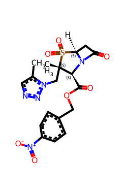 Cc1cnnn1C[C@@]1(C)[C@H](C(=O)OCc2ccc([N+](=O)[O-])cc2)N2C(=O)C[C@@H]2S1(=O)=O